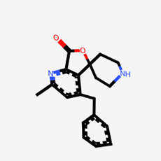 Cc1cc(Cc2ccccc2)c2c(n1)C(=O)OC21CCNCC1